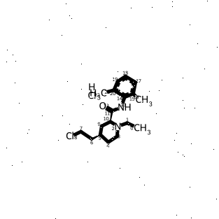 CCN1CC[C@@H](CCCl)C[C@H]1C(=O)Nc1c(C)cccc1C.Cl